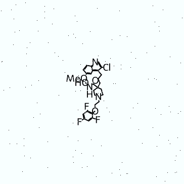 COc1ccc2ncc(Cl)c(CCCC3(C(=O)NO)CCN(CCOc4c(F)cc(F)cc4F)CC3)c2c1